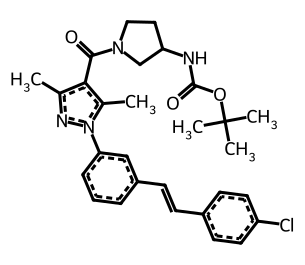 Cc1nn(-c2cccc(C=Cc3ccc(Cl)cc3)c2)c(C)c1C(=O)N1CCC(NC(=O)OC(C)(C)C)C1